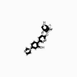 C[C@]12C[C@H](CN1)[C@@H](Oc1ccc(-c3ccc(-n4ccnc4)cc3O)nn1)[C@@H]2F